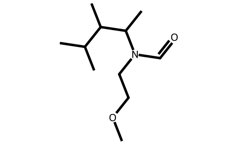 COCCN(C=O)C(C)C(C)C(C)C